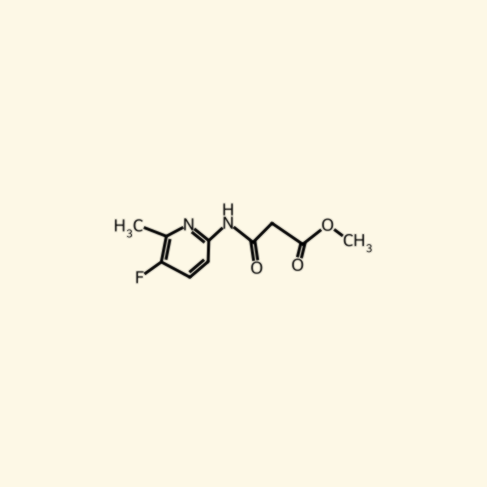 COC(=O)CC(=O)Nc1ccc(F)c(C)n1